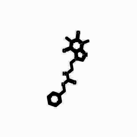 Cn1c(=O)c2c(ncn2CCNC(=O)OCc2ccccc2)n(C)c1=O